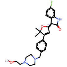 CCOCCN1CCN(Cc2ccc(C3=C/C(=C4\C(=O)Nc5cc(F)ccc54)OC3(C)C)cc2)CC1